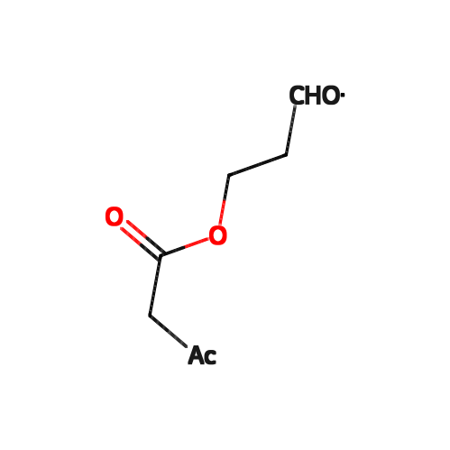 CC(=O)CC(=O)OCC[C]=O